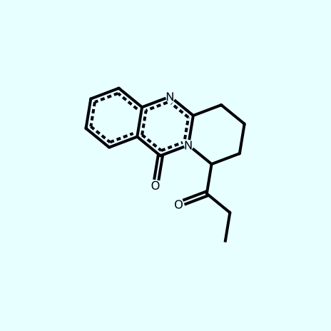 CCC(=O)C1CCCc2nc3ccccc3c(=O)n21